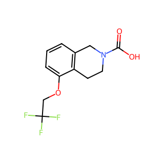 O=C(O)N1CCc2c(cccc2OCC(F)(F)F)C1